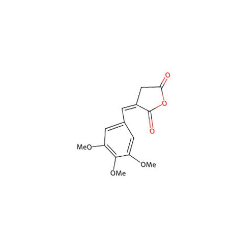 COc1cc(C=C2CC(=O)OC2=O)cc(OC)c1OC